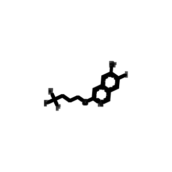 FC(F)(F)CCCOc1cc2cc(Br)c(I)cc2cn1